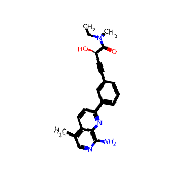 CCN(C)C(=O)[C@H](O)C#Cc1cccc(-c2ccc3c(C)cnc(N)c3n2)c1